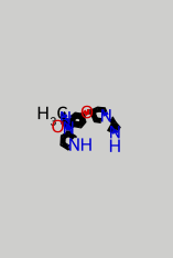 Cn1c(=O)n(C2CCCNC2)c2ccc(OC3CCN(CC4CNC4)CC3)cc21